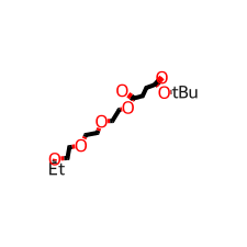 CCOCCOCCOCCOC(=O)CCC(=O)OC(C)(C)C